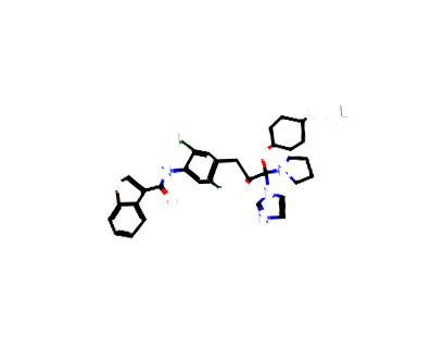 CCOC(=O)C1CCC(OC(C(=O)Cc2cc(Cl)c(NC(=O)c3csc4ccccc34)cc2F)(N2CCCC2)n2ccnc2)CC1